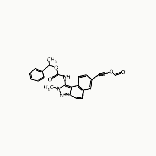 CC(OC(=O)Nc1c2c(ccc3cc(C#COC=O)ccc32)nn1C)c1ccccc1